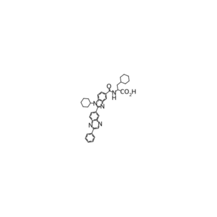 O=C(NC(CC1CCCCC1)C(=O)O)c1ccc2c(c1)nc(-c1ccc3nc(-c4ccccc4)cnc3c1)n2C1CCCCC1